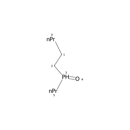 CCCCC[PH](=O)CCC